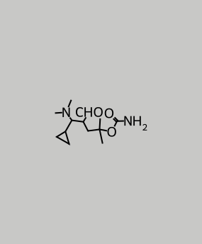 CN(C)C(C(C=O)CC(C)(C)OC(N)=O)C1CC1